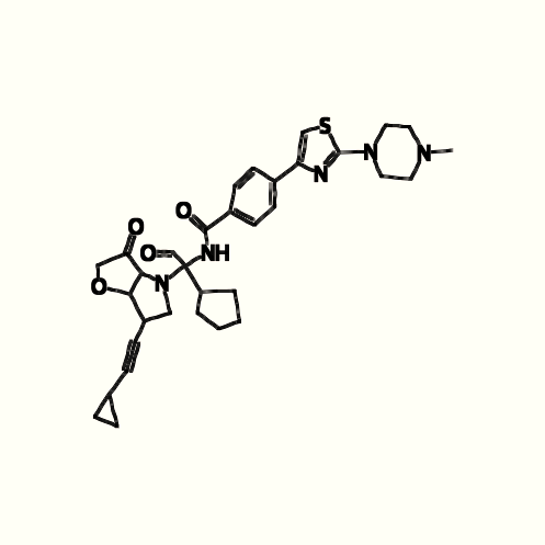 CN1CCN(c2nc(-c3ccc(C(=O)NC(C=O)(C4CCCC4)N4CC(C#CC5CC5)C5OCC(=O)C54)cc3)cs2)CC1